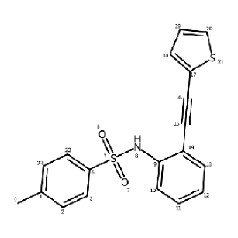 Cc1ccc(S(=O)(=O)Nc2ccccc2C#Cc2cccs2)cc1